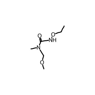 CCONC(=O)N(C)COC